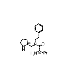 CC(C)[C@@H](N)C(=O)N(CCc1ccccc1)C[C@@H]1CCCN1